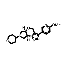 COc1ccc(-c2nnn3c2CO[C@H]2CN(C4CCOCC4)C[C@@H]23)cn1